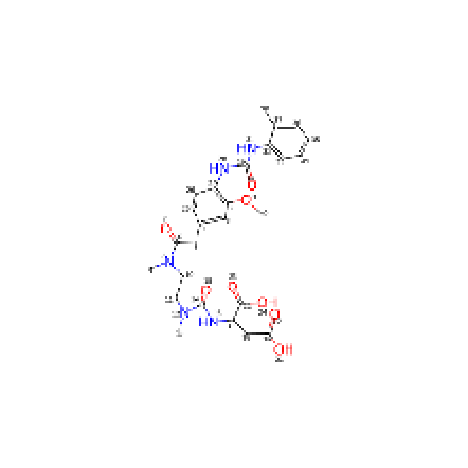 COc1cc(CC(=O)N(C)CCN(C)C(=O)NC(CC(=O)O)C(=O)O)ccc1NC(=O)Nc1ccccc1C